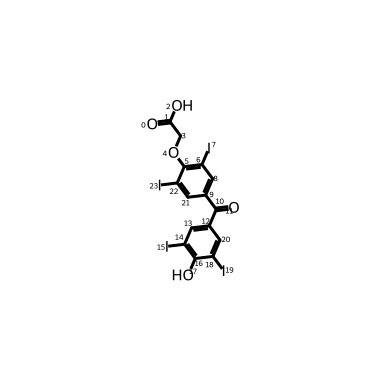 O=C(O)COc1c(I)cc(C(=O)c2cc(I)c(O)c(I)c2)cc1I